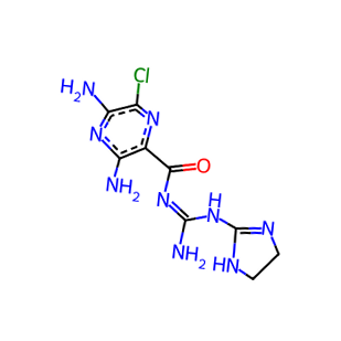 N/C(=N/C(=O)c1nc(Cl)c(N)nc1N)NC1=NCCN1